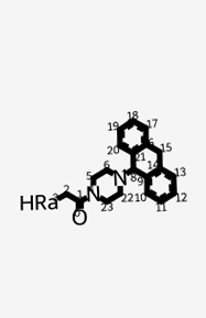 O=C([CH2][RaH])N1CCN(C2c3ccccc3Cc3ccccc32)CC1